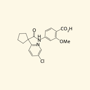 COc1cc(NC(=O)C2(c3ccc(Cl)cn3)CCCC2)ccc1C(=O)O